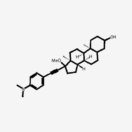 COC1(C#Cc2ccc(N(C)C)cc2)CC[C@H]2[C@@H]3CCC4CC(O)CC[C@]4(C)[C@@H]3CC[C@@]21C